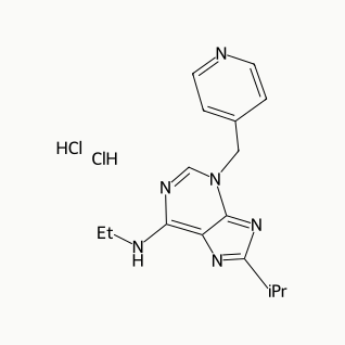 CCNc1ncn(Cc2ccncc2)c2nc(C(C)C)nc1-2.Cl.Cl